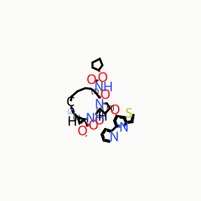 COC(=O)[C@@]12C[C@H]1/C=C\CCCCC[C@H](NC(=O)OC1CCCC1)C(=O)N1C[C@H](Oc3cc(-c4ccccn4)nc4ccsc34)C[C@H]1C(=O)N2